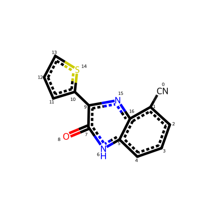 N#Cc1cccc2[nH]c(=O)c(-c3cccs3)nc12